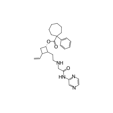 C=CC1C[C@H](OC(=O)C2(c3ccccc3)CCCCCC2)C1CCNCC(=O)Nc1cnccn1